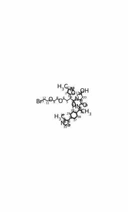 Cc1cc(C(CCOCCOCCBr)C(=O)N2C[C@H](O)C[C@H]2C(=O)N[C@@H](C)c2ccc(-c3scnc3C)cc2)on1